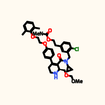 CNC(=O)OCCc1ccc(Cl)c(CN(C(=O)C2=C(c3ccc(OCCOc4c(C)cccc4C)cc3)CCN[C@@H]2COCOC)C2CC2)c1